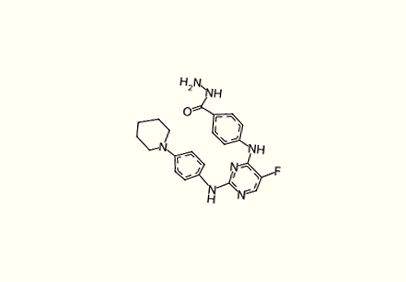 NNC(=O)c1ccc(Nc2nc(Nc3ccc(N4CCCCC4)cc3)ncc2F)cc1